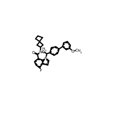 COc1cccc(-c2ccc(C(C)n3ccc4c(F)ccc(C(=O)NC5CC6(CCC6)C5)c43)cc2)c1